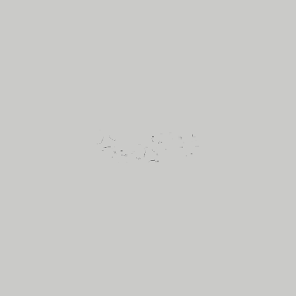 Cc1ccc([C@@H]2CCC[C@H](CNc3cnnc(C(=O)N4CCC(NC5CCOCC5F)CC4)c3C)O2)cc1